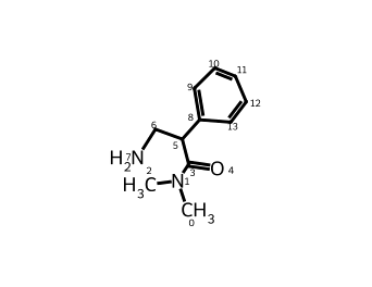 CN(C)C(=O)C(CN)c1ccccc1